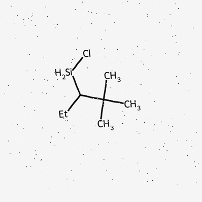 CCC([SiH2]Cl)C(C)(C)C